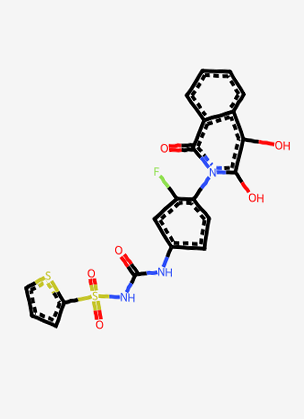 O=C(Nc1ccc(-n2c(O)c(O)c3ccccc3c2=O)c(F)c1)NS(=O)(=O)c1cccs1